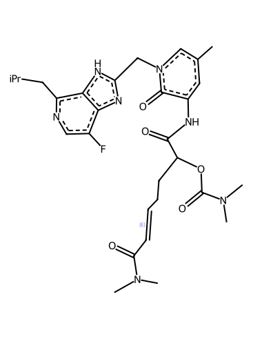 Cc1cc(NC(=O)C(CC/C=C/C(=O)N(C)C)OC(=O)N(C)C)c(=O)n(Cc2nc3c(F)cnc(CC(C)C)c3[nH]2)c1